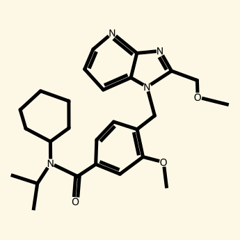 COCc1nc2ncccc2n1Cc1ccc(C(=O)N(C(C)C)C2CCCCC2)cc1OC